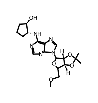 COCC1OC(n2cnc3c(N[C@@H]4CCC[C@H]4O)ncnc32)[C@@H]2OC(C)(C)O[C@H]12